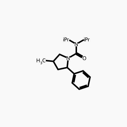 CC1CC(c2ccccc2)N(C(=O)N(C(C)C)C(C)C)C1